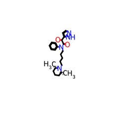 C[C@@H]1CCC[C@H](C)N1CCCCCN1C(=O)C(c2ccn[nH]2)Oc2ccccc21